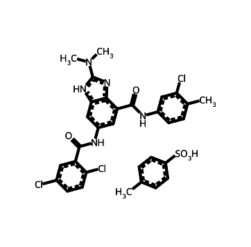 Cc1ccc(NC(=O)c2cc(NC(=O)c3cc(Cl)ccc3Cl)cc3[nH]c(N(C)C)nc23)cc1Cl.Cc1ccc(S(=O)(=O)O)cc1